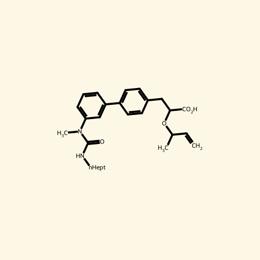 C=CC(C)OC(Cc1ccc(-c2cccc(N(C)C(=O)NCCCCCCC)c2)cc1)C(=O)O